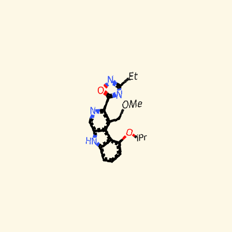 CCc1noc(-c2ncc3[nH]c4cccc(OC(C)C)c4c3c2COC)n1